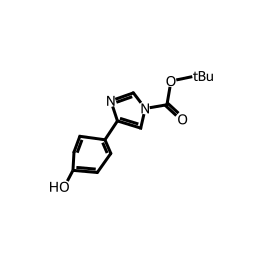 CC(C)(C)OC(=O)n1cnc(-c2ccc(O)cc2)c1